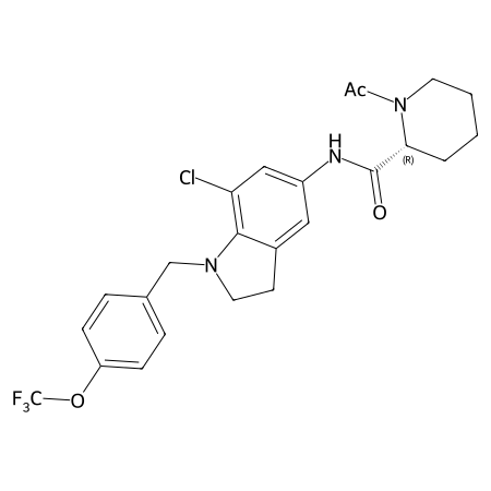 CC(=O)N1CCCC[C@@H]1C(=O)Nc1cc(Cl)c2c(c1)CCN2Cc1ccc(OC(F)(F)F)cc1